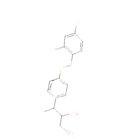 CC(c1ccc(SCc2ccc(Cl)cc2Cl)cc1)C(O)CN